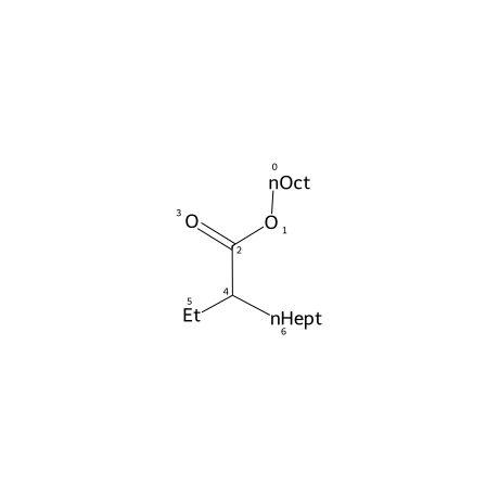 CCCCCCCCOC(=O)C(CC)CCCCCCC